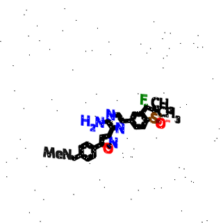 CNCc1ccc(-c2cc(-c3nc(-c4ccc5c(c4)C(F)C(C)(C)[S+]5[O-])cnc3N)no2)cc1